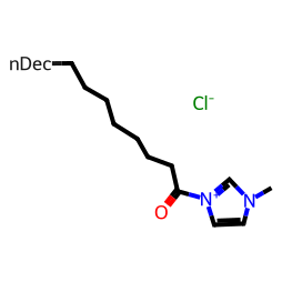 CCCCCCCCCCCCCCCCCC(=O)[n+]1ccn(C)c1.[Cl-]